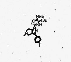 CNC(=O)C(NC(=O)n1nc(-c2ccc(F)cc2)c2c1CCN(C)C2)C(C)(C)C